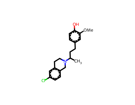 COc1cc(CCC(C)N2CCc3cc(Cl)ccc3C2)ccc1O